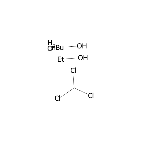 CCCCO.CCO.ClC(Cl)Cl.O